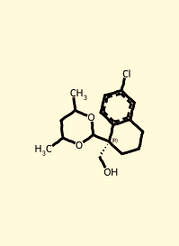 CC1CC(C)OC([C@]2(CO)CCCc3cc(Cl)ccc32)O1